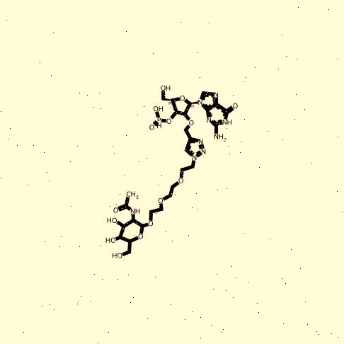 CC(=O)NC1C(OCCOCCOCCn2cc(COC3C(O[PH](=O)O)[C@@H](CO)O[C@H]3n3cnc4c(=O)[nH]c(N)nc43)nn2)OC(CO)C(O)C1O